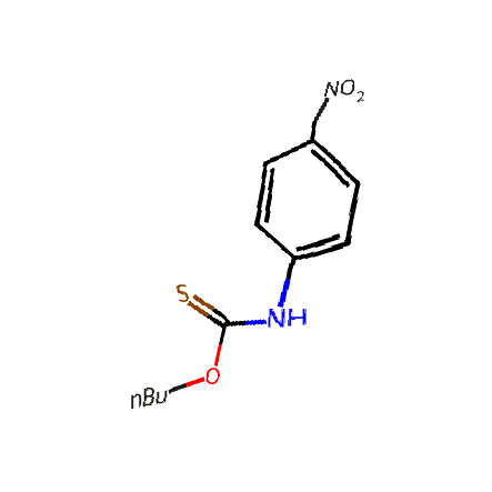 CCCCOC(=S)Nc1ccc([N+](=O)[O-])cc1